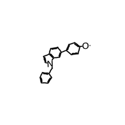 [O]c1ccc(-c2ccc3ccn(Cc4ccccc4)c3c2)cc1